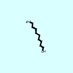 CC(C)CCCCCCCC[CH]O